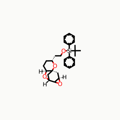 CC(C)(C)[Si](OCC[C@H]1CC[C@@H]2O[C@@H]3C[C@]2(C[C@H]2OC23)O1)(c1ccccc1)c1ccccc1